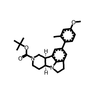 COc1ccc(-c2cc3c4c(c2)[C@@H]2CN(C(=O)OC(C)(C)C)CC[C@@H]2N4CC3)c(C)c1